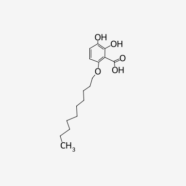 CCCCCCCCCCOc1ccc(O)c(O)c1C(=O)O